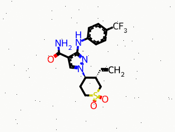 C=C[C@@H]1CS(=O)(=O)CC[C@H]1n1cc(C(N)=O)c(Nc2ccc(C(F)(F)F)cc2)n1